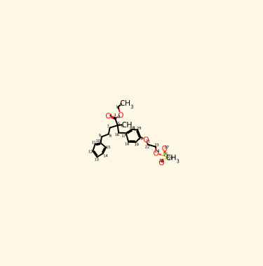 CCOC(=O)C(C)(CCCc1ccccc1)Cc1ccc(OCCOS(C)(=O)=O)cc1